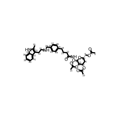 CC(=O)OC[C@@H]1C[C@H](OC(C)=O)[C@@H](OC(C)=O)[C@H](ONC(=O)CCCc2ccc(CNCCc3c(C)[nH]c4ccccc34)cc2)O1